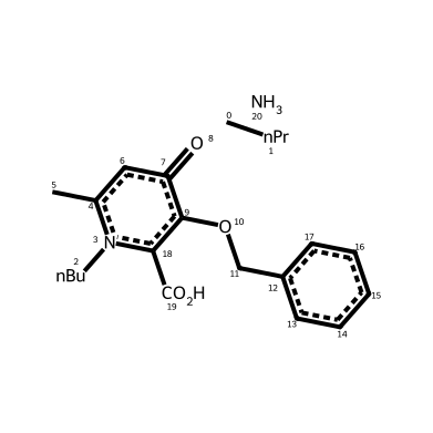 CCCC.CCCCn1c(C)cc(=O)c(OCc2ccccc2)c1C(=O)O.N